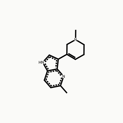 Cc1ccc2[nH]cc(C3=CCCN(C)C3)c2n1